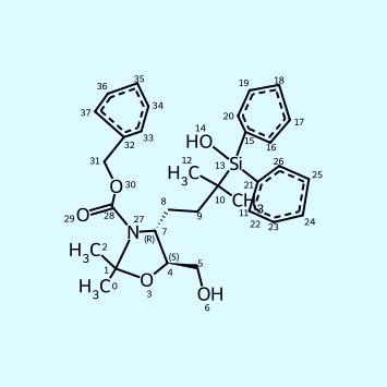 CC1(C)O[C@H](CO)[C@@H](CCC(C)(C)[Si](O)(c2ccccc2)c2ccccc2)N1C(=O)OCc1ccccc1